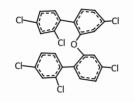 Clc1ccc(-c2ccc(Cl)cc2Oc2cc(Cl)ccc2-c2ccc(Cl)cc2Cl)c(Cl)c1